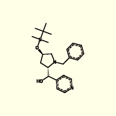 CC(C)(C)[Si](C)(C)O[C@@H]1C[C@@H](C(O)c2ccncc2)N(Cc2ccccc2)C1